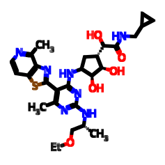 CCOC[C@@H](C)Nc1nc(C)c(-c2nc3c(C)nccc3s2)c(NC2C[C@H](C(O)C(=O)NCC3CC3)[C@@H](O)[C@H]2O)n1